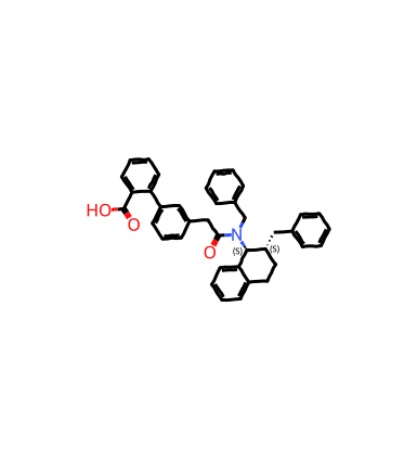 O=C(O)c1ccccc1-c1cccc(CC(=O)N(Cc2ccccc2)[C@@H]2c3ccccc3CC[C@H]2Cc2ccccc2)c1